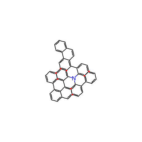 c1ccc(-c2ccccc2N(c2ccccc2-c2cccc3c2ccc2ccccc23)c2ccccc2-c2cccc3cccc(-c4ccccc4)c23)cc1